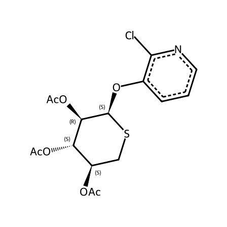 CC(=O)O[C@@H]1[C@@H](OC(C)=O)[C@@H](Oc2cccnc2Cl)SC[C@H]1OC(C)=O